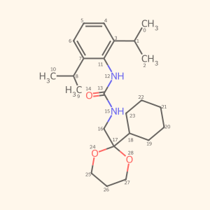 CC(C)c1cccc(C(C)C)c1NC(=O)NCC1(C2CCCCC2)OCCCO1